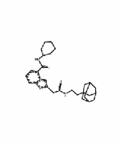 O=C(Cc1cn2c(C(=O)NC3CCCCC3)cccc2n1)NCCC12CC3CC(CC(C3)C1)C2